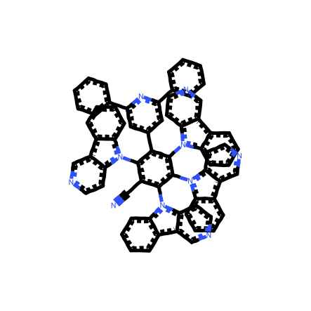 N#Cc1c(-n2c3ccccc3c3cnccc32)c(-c2cc(-c3ccccc3)nc(-c3ccccc3)c2)c(-n2c3ccccc3c3cnccc32)c(-n2c3ccccc3c3cnccc32)c1-n1c2ccccc2c2cnccc21